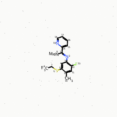 CN/C(=N\c1cc(SCC(F)(F)F)c(C)cc1F)c1ccccn1